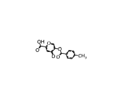 Cc1ccc(C(=O)Oc2coc(C(=O)O)cc2=O)cc1